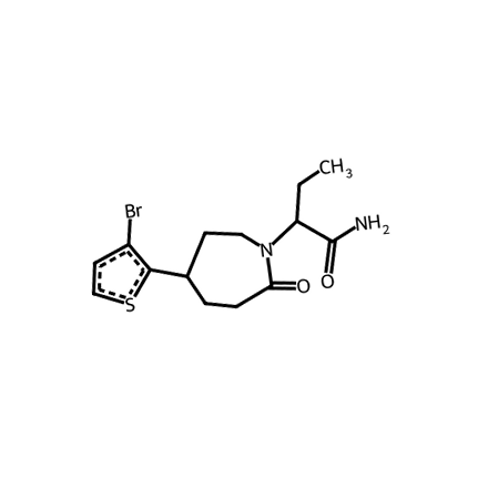 CCC(C(N)=O)N1CCC(c2sccc2Br)CCC1=O